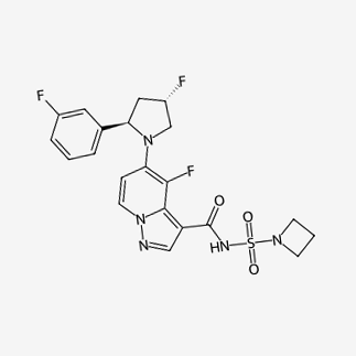 O=C(NS(=O)(=O)N1CCC1)c1cnn2ccc(N3C[C@@H](F)C[C@@H]3c3cccc(F)c3)c(F)c12